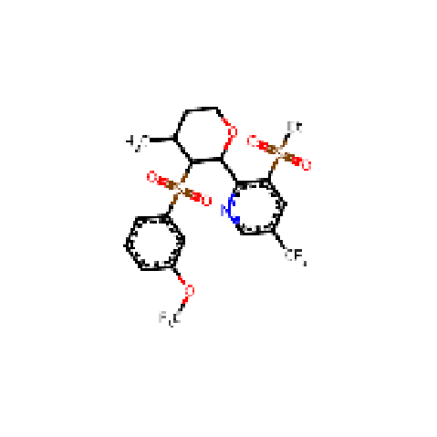 CCS(=O)(=O)c1cc(C(F)(F)F)cnc1C1OCCC(C)C1S(=O)(=O)c1cccc(OC(F)(F)F)c1